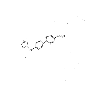 O=C(O)c1ccc(-c2ccc(O[C@@H]3CCOC3)cc2)cc1